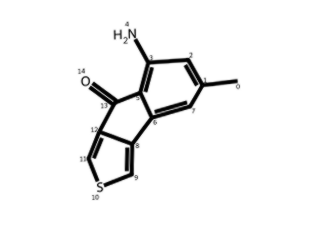 Cc1cc(N)c2c(c1)-c1cscc1C2=O